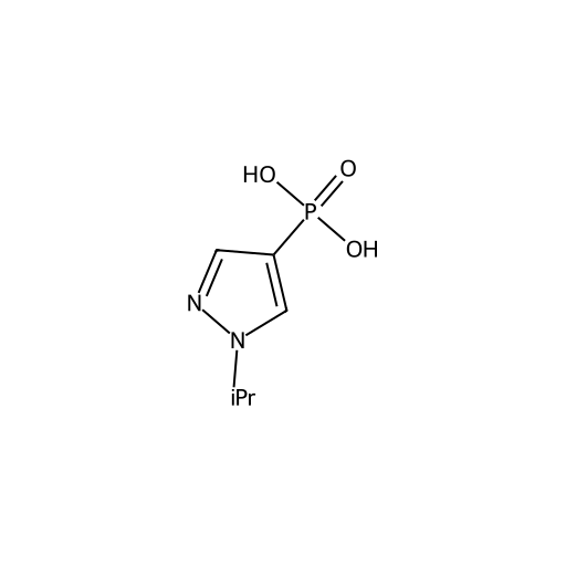 CC(C)n1cc(P(=O)(O)O)cn1